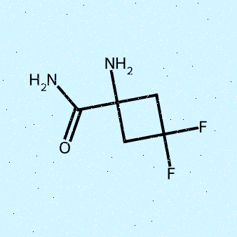 NC(=O)C1(N)CC(F)(F)C1